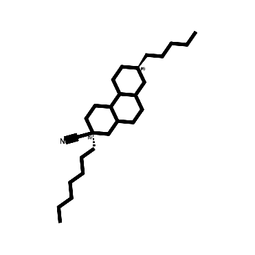 CCCCCCC[C@]1(C#N)CCC2C(CCC3C[C@H](CCCCC)CCC32)C1